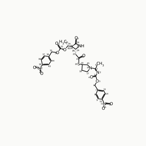 CC(=NC(=O)OCc1ccc([N+](=O)[O-])cc1)N1CCC(SC(=O)C[C@H]2NC(=O)[C@@H]2[C@@H](C)OC(=O)OCc2ccc([N+](=O)[O-])cc2)C1